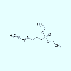 C=BN=NCCCP(=O)(OCC)OCC